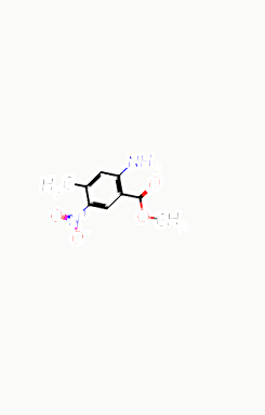 COC(=O)c1cc([N+](=O)[O-])c(C)cc1N